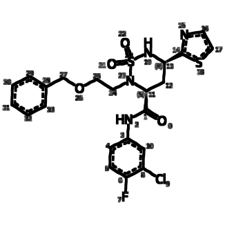 O=C(Nc1ccc(F)c(Cl)c1)[C@@H]1C[C@H](c2nccs2)NS(=O)(=O)N1CCOCc1ccccc1